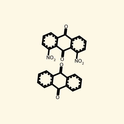 O=C1c2cccc([N+](=O)[O-])c2C(=O)c2c1cccc2[N+](=O)[O-].O=C1c2ccccc2C(=O)c2ccccc21